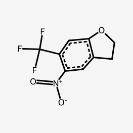 O=[N+]([O-])c1cc2c(cc1C(F)(F)F)OCC2